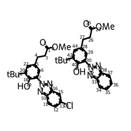 COC(=O)CCc1cc(-n2nc3ccc(Cl)cc3n2)c(O)c(C(C)(C)C)c1.COC(=O)CCc1cc(-n2nc3ccccc3n2)c(O)c(C(C)(C)C)c1